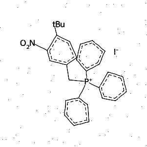 CC(C)(C)c1ccc(C[P+](c2ccccc2)(c2ccccc2)c2ccccc2)cc1[N+](=O)[O-].[I-]